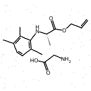 C=CCOC(=O)[C@H](C)Nc1c(C)ccc(C)c1C.NCC(=O)O